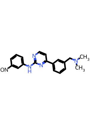 CN(C)Cc1cccc(-c2ccnc(Nc3cccc(N=O)c3)n2)c1